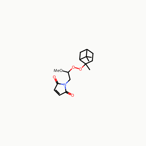 COC(CN1C(=O)C=CC1=O)OOC1(C)CCC2CC1C2(C)C